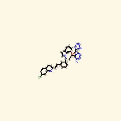 Clc1ccc2ccc(/C=C/c3cccc([C@@H](CCc4nnn[nH]4)n4ccc5cccc(OCc6nnn[nH]6)c54)c3)nc2c1